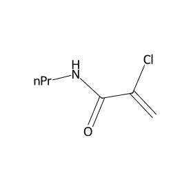 C=C(Cl)C(=O)NCCC